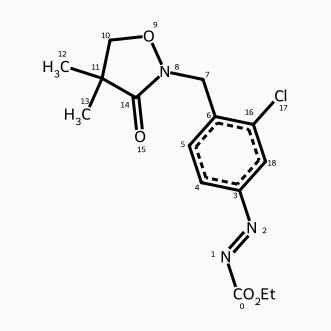 CCOC(=O)N=Nc1ccc(CN2OCC(C)(C)C2=O)c(Cl)c1